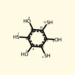 Oc1c(S)c(O)c(S)c(O)c1S